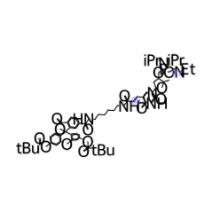 CC/N=C/OP(OC1CC(n2cc(/C=C/C(=O)NCCCCCCNC(=O)c3ccc4c(c3)C3(OC4=O)c4ccc(OC(=O)C(C)(C)C)cc4Oc4cc(OC(=O)C(C)(C)C)ccc43)c(=O)[nH]c2=O)OC1C)N(C(C)C)C(C)C